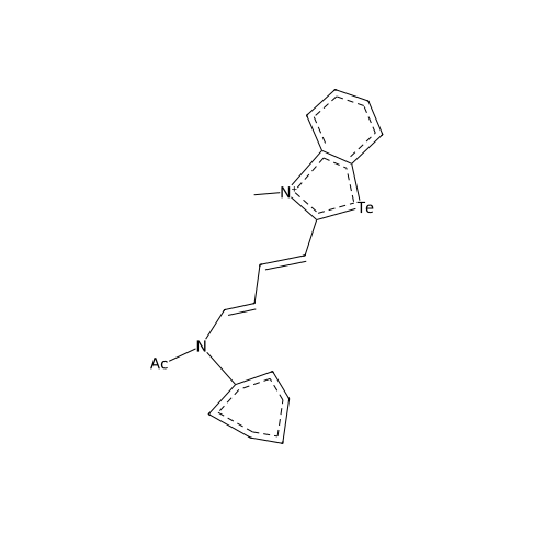 CC(=O)N(C=CC=Cc1[te]c2ccccc2[n+]1C)c1ccccc1